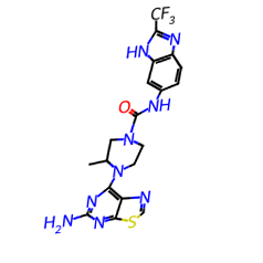 CC1CN(C(=O)Nc2ccc3nc(C(F)(F)F)[nH]c3c2)CCN1c1nc(N)nc2scnc12